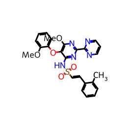 COc1ccccc1Oc1c(NS(=O)(=O)C=Cc2ccccc2C)nc(-c2ncccn2)nc1OC